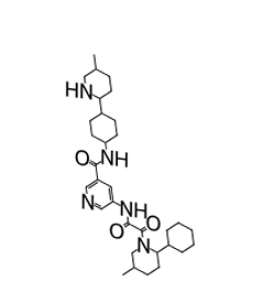 CC1CCC(C2CCC(NC(=O)c3cncc(NC(=O)C(=O)N4CC(C)CCC4C4CCCCC4)c3)CC2)NC1